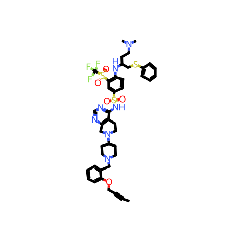 CC#CCOc1ccccc1CN1CCC(N2CCc3c(ncnc3NS(=O)(=O)c3ccc(NC(CCN(C)C)CSc4ccccc4)c(S(=O)(=O)C(F)(F)F)c3)C2)CC1